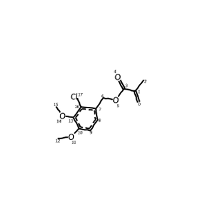 C=C(C)C(=O)OCc1ccc(OC)c(OC)c1Cl